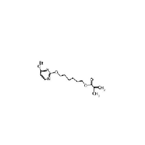 C=C(C)C(=O)OCCCCCCOc1nccc(OCC)n1